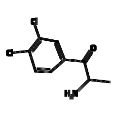 CC(N)C(=O)c1ccc(Cl)c(Cl)c1